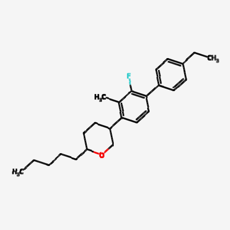 CCCCCC1CCC(c2ccc(-c3ccc(CC)cc3)c(F)c2C)CO1